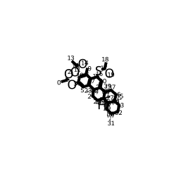 CC(=O)Oc1cc2c(c(C)c1OC(C)=O)C(SC(C)=O)C=C1[C@@]2(C)CC[C@@]2(C)[C@@H]3C[C@@H](C)CC[C@]3(C)CC[C@]12C